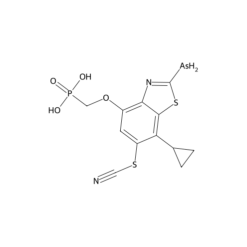 N#CSc1cc(OCP(=O)(O)O)c2nc([AsH2])sc2c1C1CC1